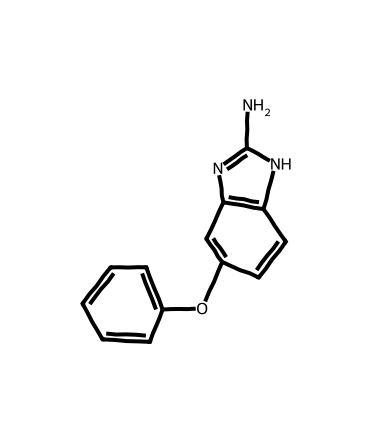 Nc1nc2cc(Oc3ccccc3)ccc2[nH]1